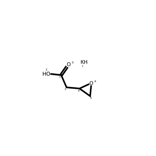 O=C(O)CC1CO1.[KH]